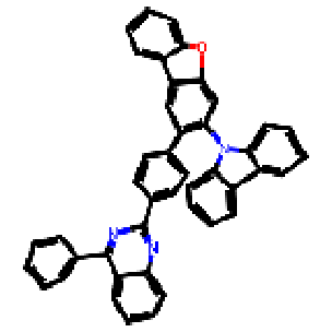 c1ccc(-c2nc(-c3ccc(-c4cc5c(cc4-n4c6ccccc6c6ccccc64)oc4ccccc45)cc3)nc3ccccc23)cc1